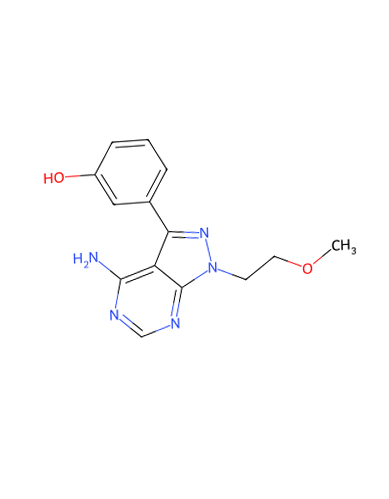 COCCn1nc(-c2cccc(O)c2)c2c(N)ncnc21